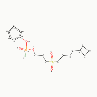 O=[P@](Cl)(OCCCS(=O)(=O)CCCCC1CCC1)Oc1ccccc1